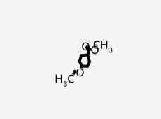 CCOC1CCC(C(=O)OC)CC1